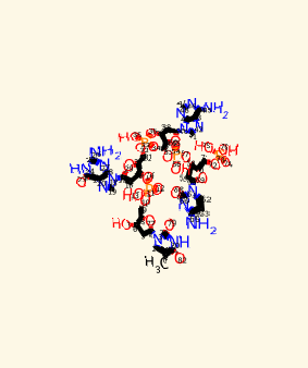 Cc1cn(C2CC(O)C(COP(=O)(O)OC3CC(n4cnc5c(=O)[nH]c(N)nc54)OC3COP(=O)(O)OC3CC(n4cnc5c(N)ncnc54)OC3COP(=O)(O)OC3CC(n4ccc(N)nc4=O)OC3COP(=O)(O)O)O2)c(=O)[nH]c1=O